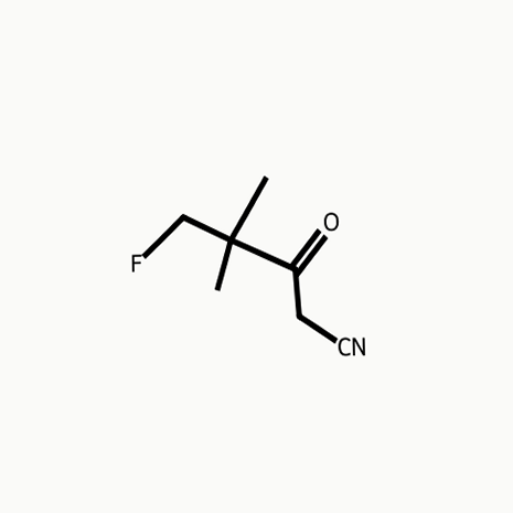 CC(C)(CF)C(=O)CC#N